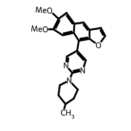 COc1cc2cc3ccoc3c(-c3cnc(N4CCC(C)CC4)nc3)c2cc1OC